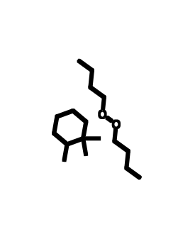 CC1CCCCC1(C)C.CCCCOOCCCC